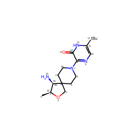 C[C@@H]1OCC2(CCN(c3ncc(C(C)(C)C)[nH]c3=O)CC2)[C@@H]1N